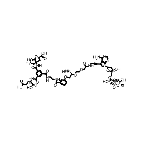 C=CC(CCC(=O)O)(NC(=O)c1cc(C(=O)NCCNC(=O)c2cccc(OCC(N=[N+]=[N-])OCCOCC(=O)NCC#Cc3cn([C@H]4C[C@H](O)[C@@H](COP(=O)(O)OP(=O)(O)OP(=O)(O)O)O4)c4ncnc(N)c34)c2)cc(C(=O)N[C@@H](CCC(=O)O)C(=O)O)c1)C(=O)O